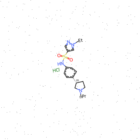 CCCN1CC[C@@H](c2ccc(NS(=O)(=O)c3cnn(CC)c3)cc2)C1.Cl